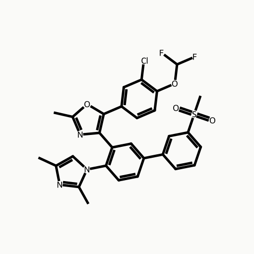 Cc1cn(-c2ccc(-c3cccc(S(C)(=O)=O)c3)cc2-c2nc(C)oc2-c2ccc(OC(F)F)c(Cl)c2)c(C)n1